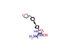 C[C@@H](N)[C@H](NC(=O)c1ccc(C#Cc2ccc(CN3CCCOCC3)cc2)cc1)C(=O)NO